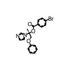 C[C@](COc1ccccc1)(OC(=O)c1ccc(Br)cc1)n1ccnc1